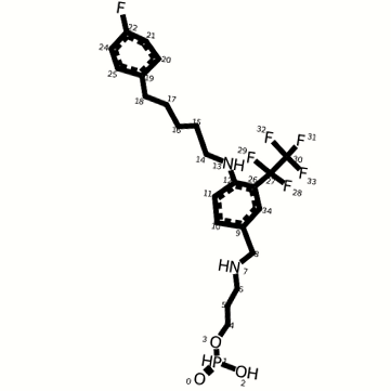 O=[PH](O)OCCCNCc1ccc(NCCCCCc2ccc(F)cc2)c(C(F)(F)C(F)(F)F)c1